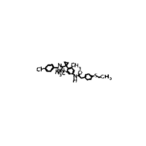 CCSc1ccc(CC(=O)Nc2cc(C)c(C3(c4noc(-c5ccc(Cl)cc5)n4)CC3)c(C)c2)cc1